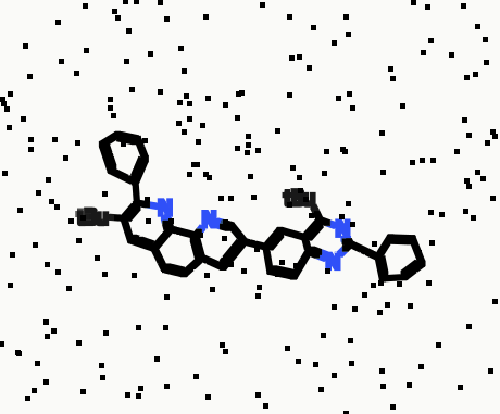 CC(C)(C)c1cc2ccc3cc(-c4ccc5nc(-c6ccccc6)nc(C(C)(C)C)c5c4)cnc3c2nc1-c1ccccc1